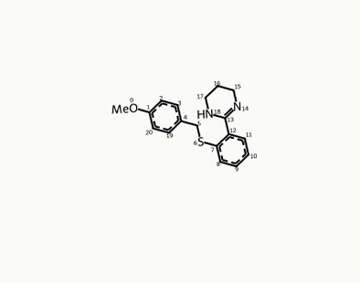 COc1ccc(CSc2ccccc2C2=NCCCN2)cc1